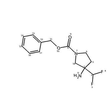 NC1(C(F)F)CCN(C(=O)OCc2ccccc2)C1